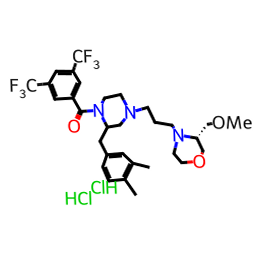 COC[C@@H]1COCCN1CCCN1CCN(C(=O)c2cc(C(F)(F)F)cc(C(F)(F)F)c2)C(Cc2ccc(C)c(C)c2)C1.Cl.Cl